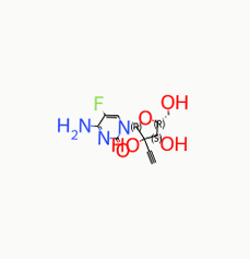 C#CC1(O)[C@@H](O)[C@@H](CO)O[C@H]1n1cc(F)c(N)nc1=O